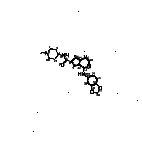 CN1CCC(NC(=O)c2cc3c(Nc4ccc5c(c4)OCO5)ncnc3s2)CC1